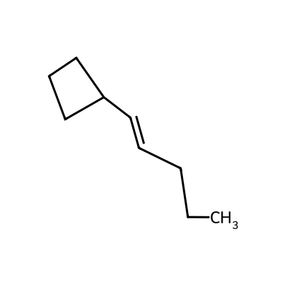 CCCC=CC1CCC1